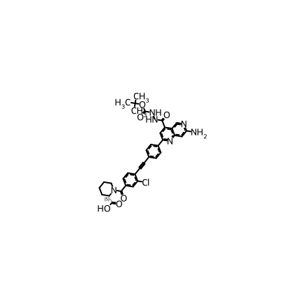 CC(C)(C)OC(=O)NNC(=O)c1cc(-c2ccc(C#Cc3ccc(C(=O)N4CCCC[C@H]4C(=O)O)cc3Cl)cc2)nc2cc(N)ncc12